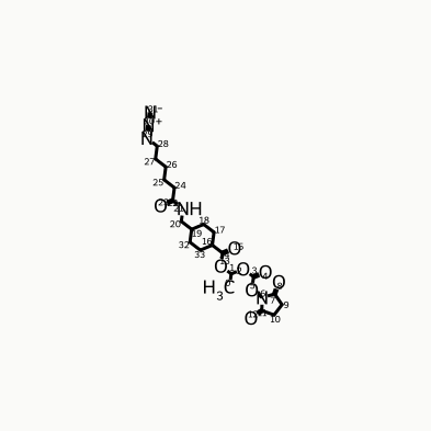 CC(OC(=O)ON1C(=O)CCC1=O)OC(=O)C1CCC(CNC(=O)CCCCCN=[N+]=[N-])CC1